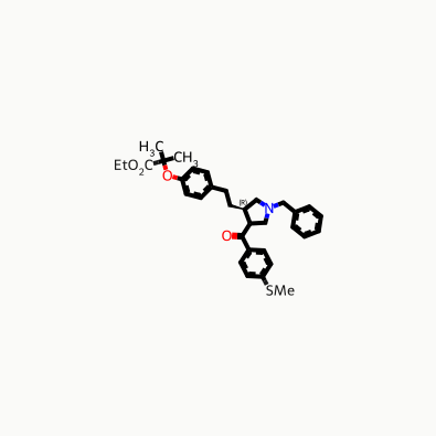 CCOC(=O)C(C)(C)Oc1ccc(CC[C@H]2CN(Cc3ccccc3)CC2C(=O)c2ccc(SC)cc2)cc1